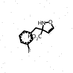 O=C(O)C1(Cc2cccc(F)c2)C=CON1